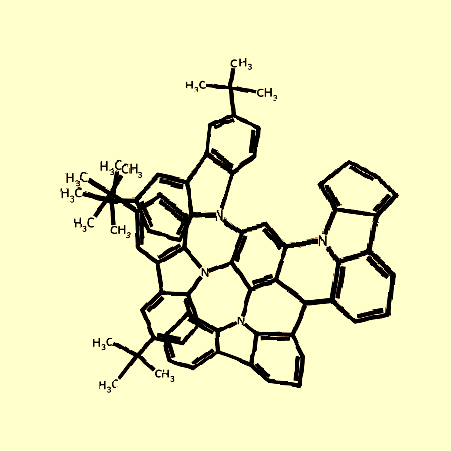 CC(C)(C)c1ccc2c(c1)c1cc(C(C)(C)C)ccc1n2-c1cc2c3c(c1-n1c4ccc(C(C)(C)C)cc4c4cc(C(C)(C)C)ccc41)-n1c4ccccc4c4cccc(c41)C3c1cccc3c4ccccc4n-2c13